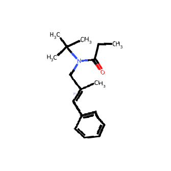 CCC(=O)N(C/C(C)=C/c1ccccc1)C(C)(C)C